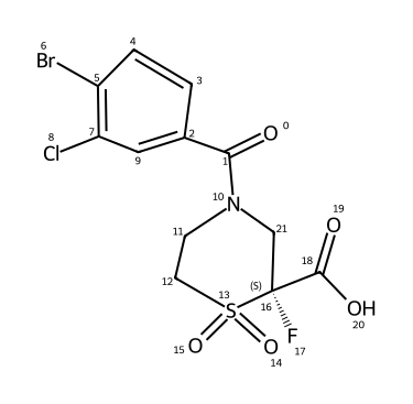 O=C(c1ccc(Br)c(Cl)c1)N1CCS(=O)(=O)[C@](F)(C(=O)O)C1